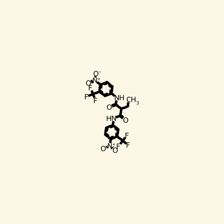 CCC(C(=O)Nc1ccc([N+](=O)[O-])c(C(F)(F)F)c1)C(=O)Nc1ccc([N+](=O)[O-])c(C(F)(F)F)c1